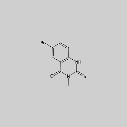 Cn1c(=S)[nH]c2ccc(Br)cc2c1=O